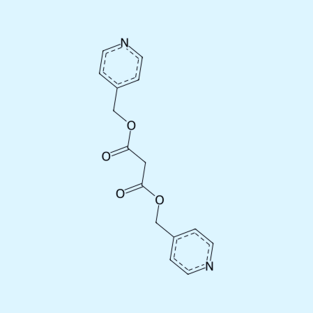 O=C(CC(=O)OCc1ccncc1)OCc1ccncc1